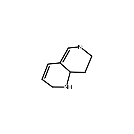 C1=CC2=C[N]CCC2NC1